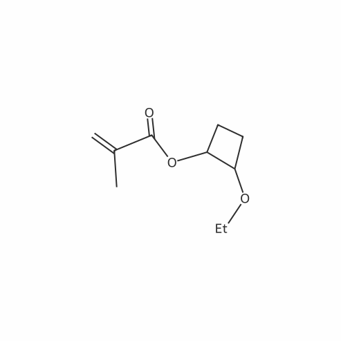 C=C(C)C(=O)OC1CCC1OCC